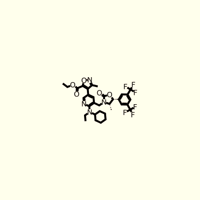 CCOC(=O)c1onc(C)c1-c1cnc(N(CC)C2CCCCC2)c(CN2C(=O)O[C@H](c3cc(C(F)(F)F)cc(C(F)(F)F)c3)[C@@H]2C)c1